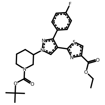 CCOC(=O)c1csc(-c2cn(C3CCCN(C(=O)OC(C)(C)C)C3)nc2-c2ccc(F)cc2)n1